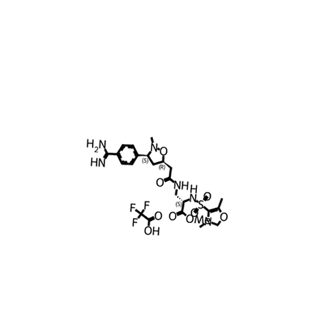 COC(=O)[C@H](CNC(=O)C[C@H]1C[C@@H](c2ccc(C(=N)N)cc2)N(C)O1)NS(=O)(=O)C1=C(C)OCN1C.O=C(O)C(F)(F)F